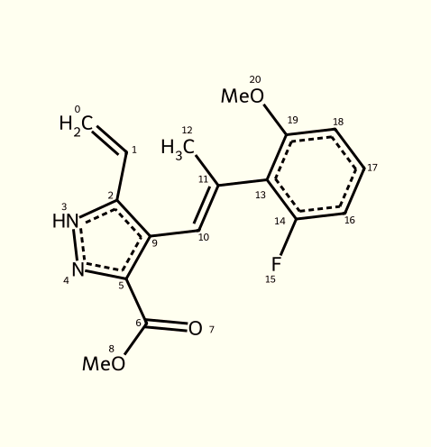 C=Cc1[nH]nc(C(=O)OC)c1/C=C(\C)c1c(F)cccc1OC